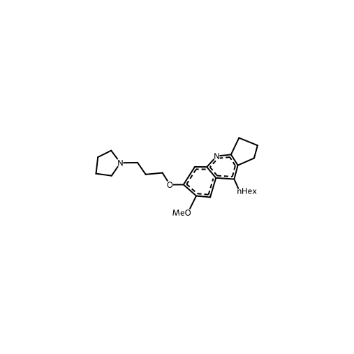 CCCCCCc1c2c(nc3cc(OCCCN4CCCC4)c(OC)cc13)CCC2